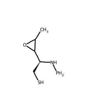 CC1OC1[C@H](CS)NP